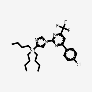 CCC[CH2][Sn]([CH2]CCC)([CH2]CCC)[c]1cn(-c2nc(-c3ccc(Cl)cc3)cc(C(F)(F)F)n2)cn1